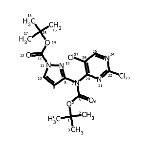 CC(C)(C)OC(=O)N(c1ccn(C(=O)OC(C)(C)C)n1)c1nc(Cl)ncc1Cl